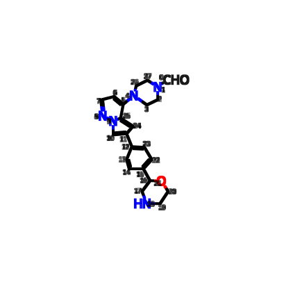 O=CN1CCN(c2ccnn3cc(-c4ccc(C5CNCCO5)cc4)cc23)CC1